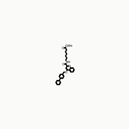 COC(=O)CCCCCCNC(=O)c1cc(OCc2ccc(-c3ccccc3)cc2)c2ccccc2n1